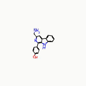 NCc1cc2c([nH]c3ccccc32)c(-c2ccc(O)cc2)n1